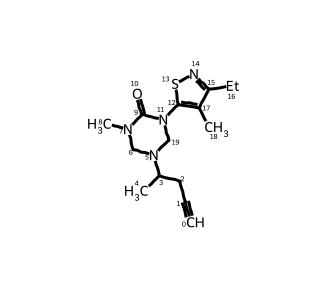 C#CCC(C)N1CN(C)C(=O)N(c2snc(CC)c2C)C1